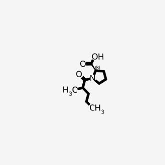 CCCC(C)C(=O)N1CCC[C@@H]1C(=O)O